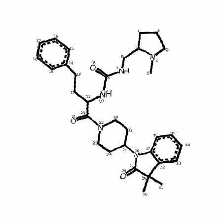 CN1CCCC1CNC(=O)NC(CCc1ccccc1)C(=O)N1CCC(N2C(=O)C(C)(C)c3ccccc32)CC1